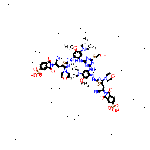 CCN(CC)c1cc(Nc2nc(Nc3cc(N(CC)CC)c(OC)cc3/N=N/c3nc(N4CCOCC4)c(/C=C(\C#N)N4C(=O)c5ccc(S(=O)(=O)O)cc5C4=O)s3)nc(SCCO)n2)c(/N=N/c2nc(N3CCOCC3)c(/C=C(\C#N)N3C(=O)c4ccc(S(=O)(=O)O)cc4C3=O)s2)cc1OC